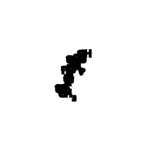 CS(=O)(=O)CCN1CCN(c2cc3c(cc2F)c(=O)c(OC(=O)O)cn3C2CC2)CC1